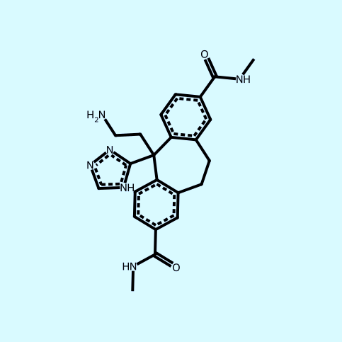 CNC(=O)c1ccc2c(c1)CCc1cc(C(=O)NC)ccc1C2(CCN)c1nnc[nH]1